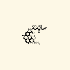 CC(C)CNC(=O)CCC(NC(=O)c1ccc(N(C)Cc2cnc3nc(N)nc(N)c3n2)cc1)C(=O)O